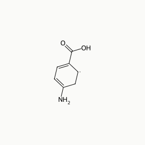 NC1=CC=C(C(=O)O)[CH]C1